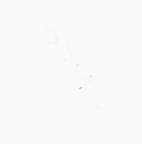 O=C(N[C@@H]1[C@@H]2CN(CC(F)(F)F)C[C@@H]21)c1ccc(-c2cccc(F)c2)nc1